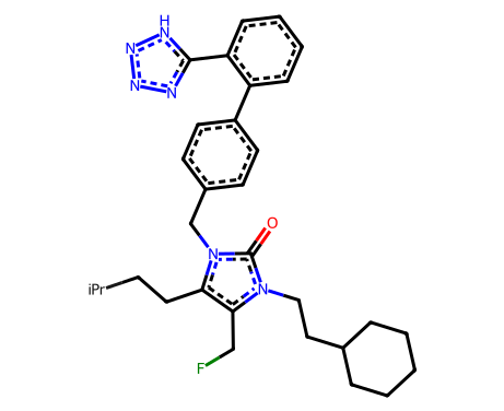 CC(C)CCc1c(CF)n(CCC2CCCCC2)c(=O)n1Cc1ccc(-c2ccccc2-c2nnn[nH]2)cc1